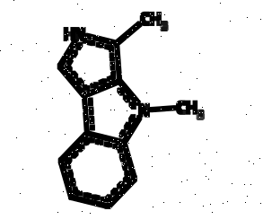 Cc1[nH]cc2c3ccccc3n(C)c12